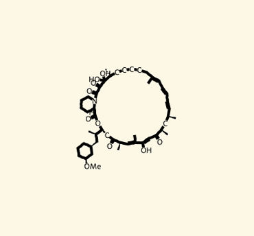 CO[C@H]1CCC[C@@H](C[C@@H](C)[C@@H]2CC(=O)[C@H](C)/C=C(C)/C(O)=C/C(=O)[C@H](C)C[C@H](C)/C=C/C=C/C=C(\C)CCCCC[C@@H](C)C(O)(O)C(=O)C(=O)N3CCCC[C@H]3C(=O)O2)C1